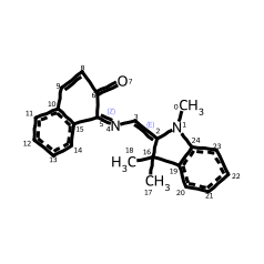 CN1/C(=C/N=C2\C(=O)C=Cc3ccccc32)C(C)(C)c2ccccc21